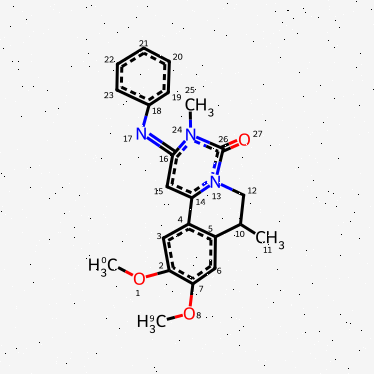 COc1cc2c(cc1OC)C(C)Cn1c-2cc(=Nc2ccccc2)n(C)c1=O